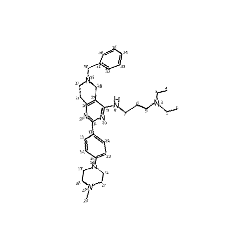 CCN(CC)CCCNc1nc(-c2ccc(N3CCN(C)CC3)cc2)nc2c1CN(Cc1ccccc1)CC2